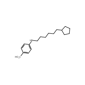 O=C(O)c1ccc(NCCCCCCC2CCCC2)cc1